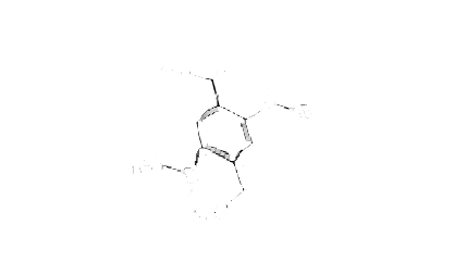 CCCCOc1cc(COC(C)=O)c(OCCCC)cc1COC(C)=O